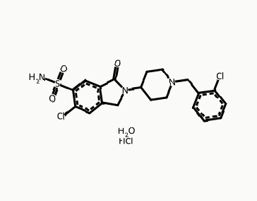 Cl.NS(=O)(=O)c1cc2c(cc1Cl)CN(C1CCN(Cc3ccccc3Cl)CC1)C2=O.O